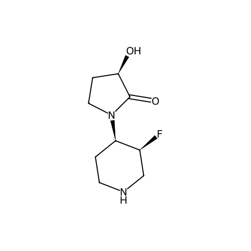 O=C1[C@H](O)CCN1[C@@H]1CCNC[C@@H]1F